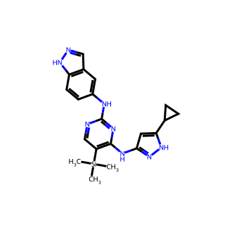 C[Si](C)(C)c1cnc(Nc2ccc3[nH]ncc3c2)nc1Nc1cc(C2CC2)[nH]n1